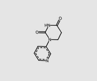 O=C1CCN(c2cccnc2)C(=O)N1